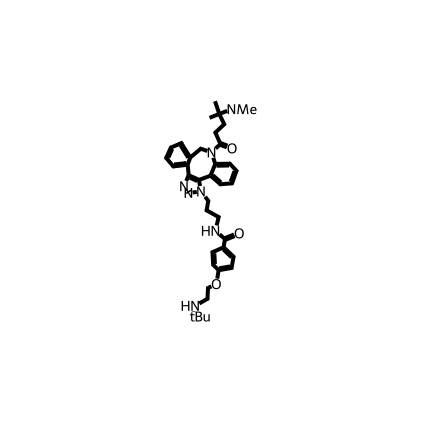 CNC(C)(C)CCC(=O)N1Cc2ccccc2-c2nnn(CCCNC(=O)c3ccc(OCCNC(C)(C)C)cc3)c2-c2ccccc21